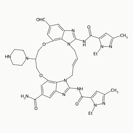 CCn1nc(C)cc1C(=O)Nc1nc2cc(C=O)cc3c2n1C/C=C/Cn1c(NC(=O)c2cc(C)nn2CC)nc2cc(C(N)=O)cc(c21)OCC(N1CCNCC1)CO3